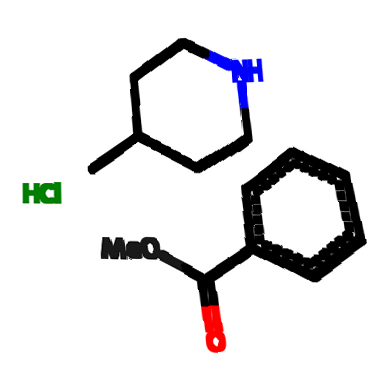 CC1CCNCC1.COC(=O)c1ccccc1.Cl